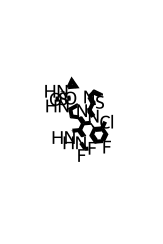 N=C/C(=C\NC(F)F)C1=C2C[C@H](NS(=O)(=O)NC3CC3)CN2C(c2nccs2)=N[C@H]1c1ccc(F)cc1Cl